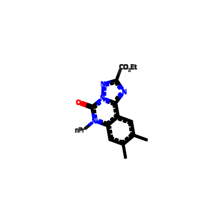 CCCn1c(=O)n2nc(C(=O)OCC)nc2c2cc(C)c(C)cc21